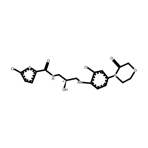 O=C(NC[C@H](O)CNc1ccc(N2CCOCC2=O)cc1Cl)c1ccc(Cl)s1